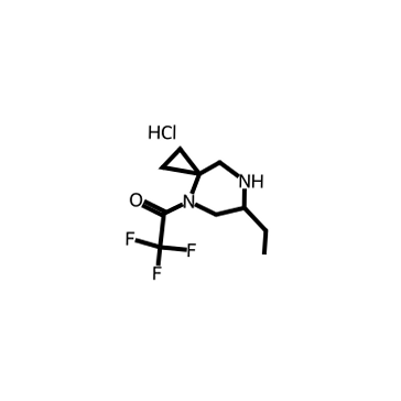 CCC1CN(C(=O)C(F)(F)F)C2(CC2)CN1.Cl